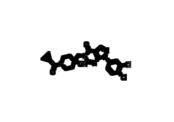 O=C(C1CC1)N1CCC(O)(Cn2cnc3c(cnn3-c3ccc(Cl)c(Cl)c3)c2=O)CC1